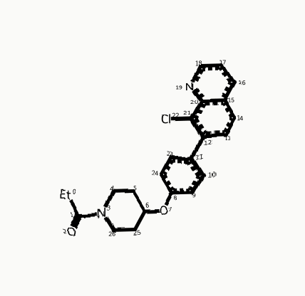 CCC(=O)N1CCC(Oc2ccc(-c3ccc4cccnc4c3Cl)cc2)CC1